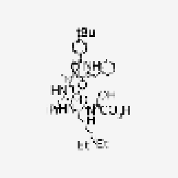 CCN(CC)CCCCC(NC(=O)C(CC(C)C)NC(=O)[C@H](C)NC(=O)[C@H](Cc1ccccc1)NC(=O)c1ccc(C(C)(C)C)cc1)C(=O)N[C@@H](CO)C(=O)O